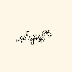 CCC(C)n1c(=O)c(-c2ccc(N(c3ccccc3F)S(C)(=O)=O)c(F)c2)cc2cnc(NC3CC(F)CN(C(=O)OC(C)(C)C)C3)nc21